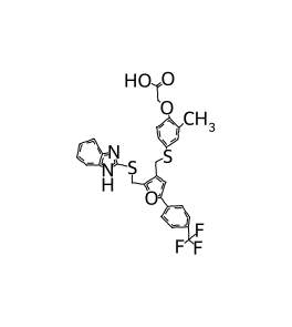 Cc1cc(SCc2cc(-c3ccc(C(F)(F)F)cc3)oc2CSc2nc3ccccc3[nH]2)ccc1OCC(=O)O